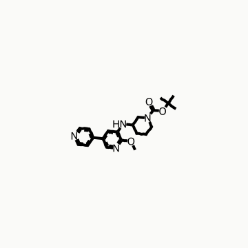 COc1ncc(-c2ccncc2)cc1NC1CCCN(C(=O)OC(C)(C)C)C1